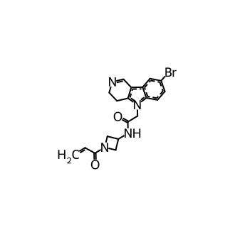 C=CC(=O)N1CC(NC(=O)Cn2c3c(c4cc(Br)ccc42)C=NCC3)C1